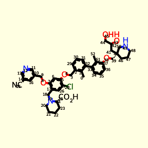 Cc1c(COc2cc(OCc3cncc(C#N)c3)c(CN3CCCC[C@H]3C(=O)O)cc2Cl)cccc1-c1cccc(OC[C@@]2(CC(O)CO)CCCNC2)c1C